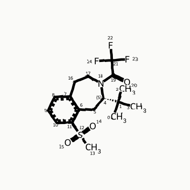 CC(C)(C)[C@@H]1Cc2c(cccc2S(C)(=O)=O)CCN1C(=O)C(F)(F)F